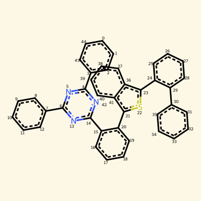 c1ccc(-c2nc(-c3ccccc3)nc(-c3ccccc3-c3sc(-c4ccccc4-c4ccccc4)c4ccccc34)n2)cc1